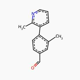 Cc1cc(C=O)ccc1-c1cccnc1C